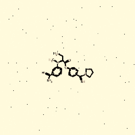 CCC(C(=O)Oc1ccc(C(=N)N2CCCC2)cc1)N(C)c1cccc(C(=N)N)c1